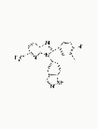 Cc1cc(-c2nc3ccc(C(F)(F)F)nc3n2-c2ccc3[nH]ncc3c2)ccc1F